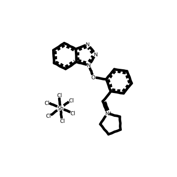 C(c1ccccc1On1nnc2ccccc21)=[N+]1CCCC1.[Cl][Sb-]([Cl])([Cl])([Cl])([Cl])[Cl]